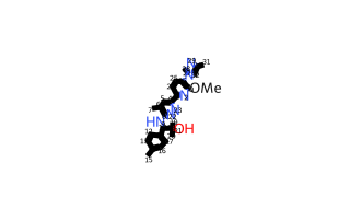 COc1nc(-c2cc(C)c(N[C@H](c3ccc(C)cc3)C(C)(C)O)nn2)ccc1-n1cnc(C)c1